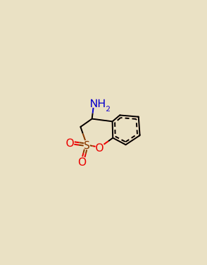 NC1CS(=O)(=O)Oc2ccccc21